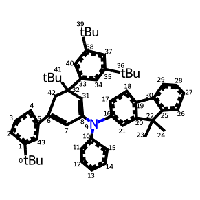 CC(C)(C)c1cccc(C2=CC(N(c3ccccc3)c3ccc4c(c3)C(C)(C)c3ccccc3-4)=CC(c3cc(C(C)(C)C)cc(C(C)(C)C)c3)(C(C)(C)C)C2)c1